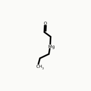 CC[CH2][Mg][CH2]C=O